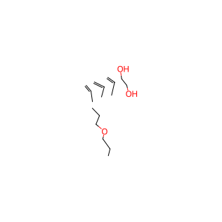 C=CC.C=CC.C=CC.CCCOCCC.OCCO